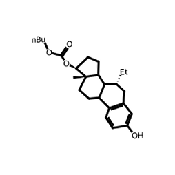 CCCCOC(=O)O[C@H]1CCC2C3C(CC[C@@]21C)c1ccc(O)cc1C[C@H]3CC